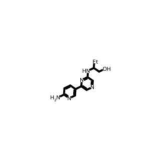 CCC(CO)Nc1cncc(-c2ccc(N)nc2)n1